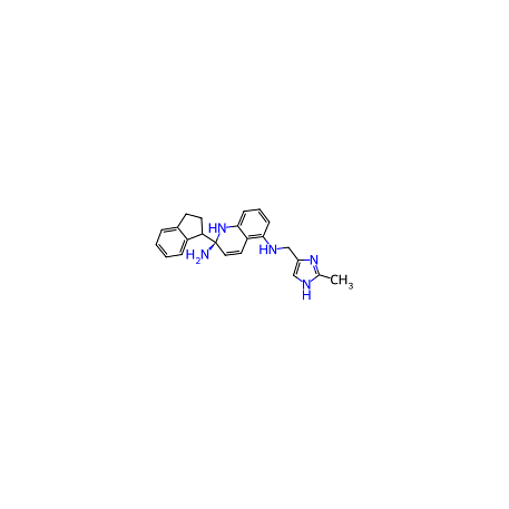 Cc1nc(CNc2cccc3c2C=C[C@](N)(C2CCc4ccccc42)N3)c[nH]1